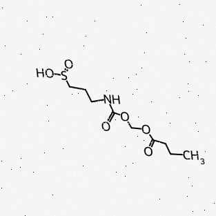 CCCC(=O)OCOC(=O)NCCCS(=O)O